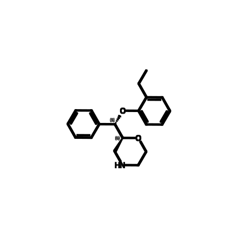 CCc1ccccc1O[C@@H](c1ccccc1)[C@@H]1CNCCO1